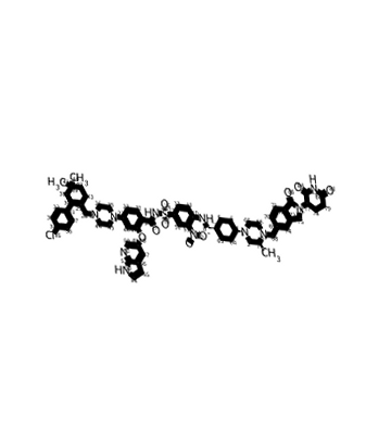 C[C@H]1CN([C@H]2CC[C@@H](CNc3ccc(S(=O)(=O)NC(=O)c4ccc(N5CCN(CC6=C(c7ccc(Cl)cc7)CC(C)(C)CC6)CC5)cc4Oc4cnc5[nH]ccc5c4)cc3[N+](=O)[O-])CC2)CCN1Cc1ccc2c(c1)CN(C1CCC(=O)NC1=O)C2=O